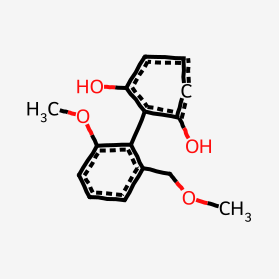 COCc1cccc(OC)c1-c1c(O)cccc1O